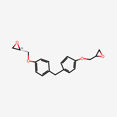 c1cc(OCC2CO2)ccc1Cc1ccc(OC[C@@H]2CO2)cc1